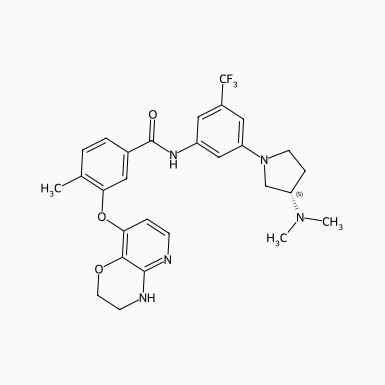 Cc1ccc(C(=O)Nc2cc(N3CC[C@H](N(C)C)C3)cc(C(F)(F)F)c2)cc1Oc1ccnc2c1OCCN2